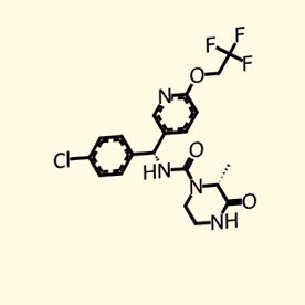 C[C@@H]1C(=O)NCCN1C(=O)N[C@H](c1ccc(Cl)cc1)c1ccc(OCC(F)(F)F)nc1